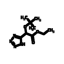 CCOC(=O)C(OC(C)(C)C)c1nnn[nH]1